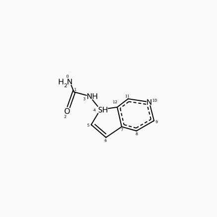 NC(=O)N[SH]1C=Cc2ccncc21